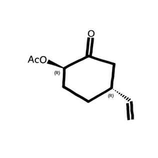 C=C[C@@H]1CC[C@@H](OC(C)=O)C(=O)C1